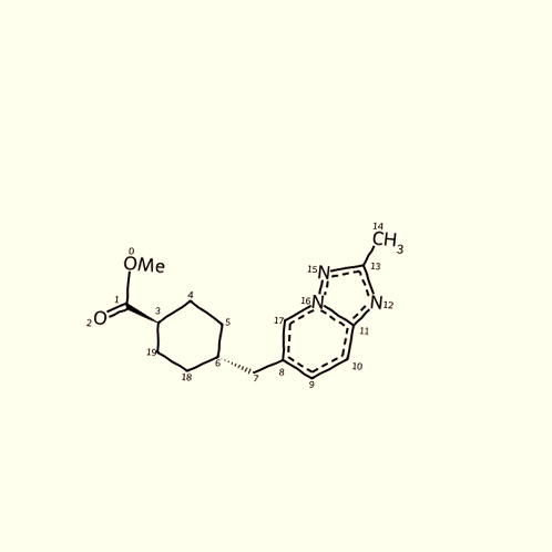 COC(=O)[C@H]1CC[C@H](Cc2ccc3nc(C)nn3c2)CC1